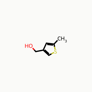 Cc1cc(CO)cs1